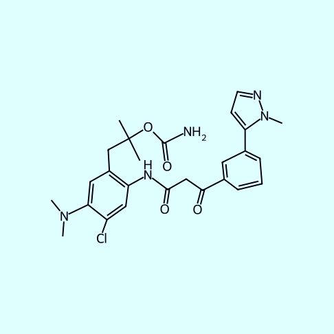 CN(C)c1cc(CC(C)(C)OC(N)=O)c(NC(=O)CC(=O)c2cccc(-c3ccnn3C)c2)cc1Cl